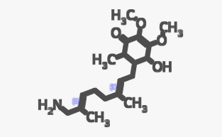 COC1=C(OC)C(O)C(C/C=C(\C)CC/C=C(\C)CN)C(C)C1=O